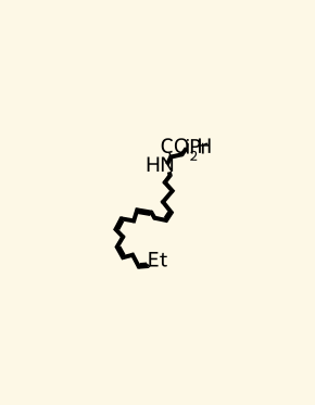 CC/C=C\C/C=C\C/C=C\C/C=C\C/C=C\CCCCN[C@@H](CC(C)C)C(=O)O